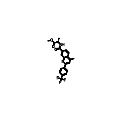 COC(=O)[C@@H](C)NC(=O)c1ccc2c(C)cc(-c3ccc(C(F)(F)F)cc3)nc2c1